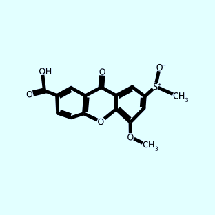 COc1cc([S+](C)[O-])cc2c(=O)c3cc(C(=O)O)ccc3oc12